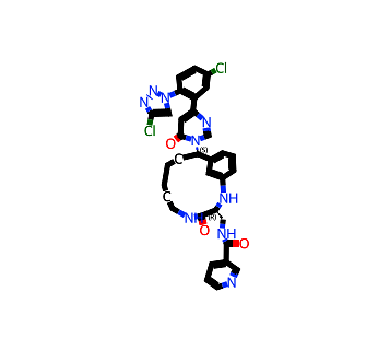 O=C(NC[C@H]1Nc2cccc(c2)[C@@H](n2cnc(-c3cc(Cl)ccc3-n3cc(Cl)nn3)cc2=O)CCCCCNC1=O)c1cccnc1